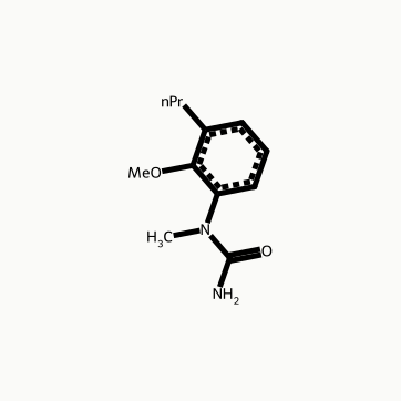 CCCc1cccc(N(C)C(N)=O)c1OC